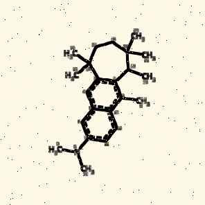 Cc1c2c(cc3cc(N(C)C)ccc13)C(C)(C)CCC(C)(C)C2C